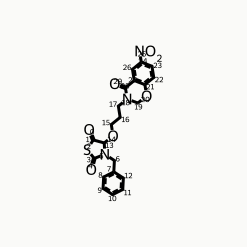 O=C1SC(=O)N(Cc2ccccc2)C1OCCCN1COc2ccc([N+](=O)[O-])cc2C1=O